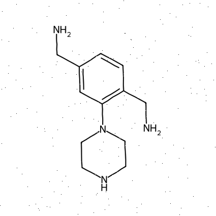 NCc1ccc(CN)c(N2CCNCC2)c1